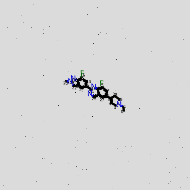 CCN1CC=C(c2cc(F)c3nc(-c4cc(F)c5nn(C)cc5c4)ncc3c2)CC1